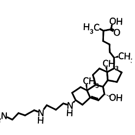 CC(CCC[C@@H](C)[C@H]1CCC2C3C(CC[C@@]21C)[C@@]1(C)CC[C@H](NCCCNCCCCN)CC1=C[C@H]3O)C(=O)O